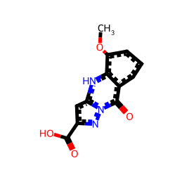 COc1cccc2c(=O)n3nc(C(=O)O)cc3[nH]c12